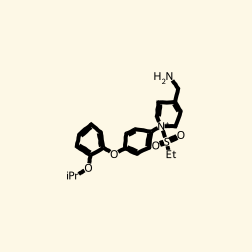 CCS(=O)(=O)[N+]1(c2ccc(Oc3ccccc3OC(C)C)cc2)C=CC(CN)=CC1